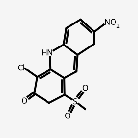 CS(=O)(=O)C1=C2C=C3CC([N+](=O)[O-])=CC=C3NC2=C(Cl)C(=O)C1